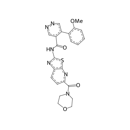 COc1ccccc1-c1cnncc1C(=O)Nc1nc2ccc(C(=O)N3CCOCC3)nc2s1